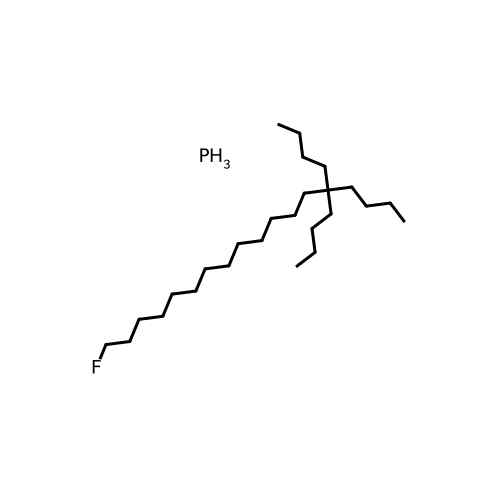 CCCCC(CCCC)(CCCC)CCCCCCCCCCCCCF.P